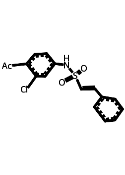 CC(=O)c1ccc(NS(=O)(=O)/C=C/c2ccccc2)cc1Cl